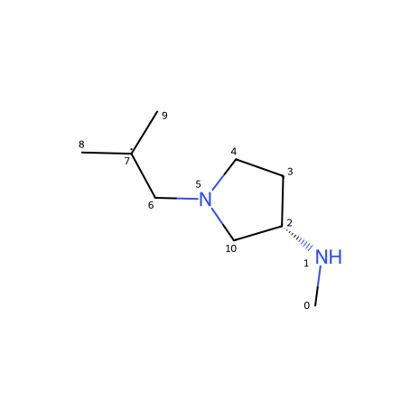 CN[C@H]1CCN(C[C](C)C)C1